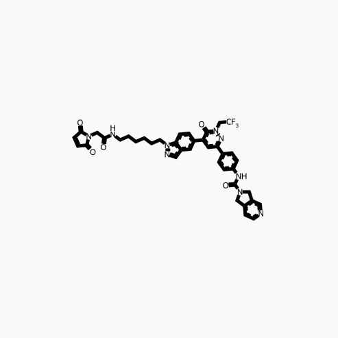 O=C(CN1C(=O)C=CC1=O)NCCCCCCn1ncc2cc(-c3cc(-c4ccc(NC(=O)N5Cc6ccncc6C5)cc4)nn(CC(F)(F)F)c3=O)ccc21